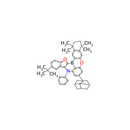 CC(C)(C)c1ccc2oc3c(c2c1)N(c1ccccc1)c1cc(C24CC5CC(CC(C5)C2)C4)cc2c1B3c1cc3c(cc1O2)C(C)(C)CCC3(C)C